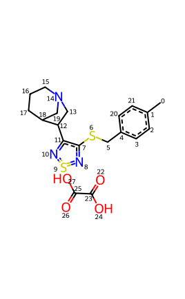 Cc1ccc(CSc2nsnc2C2CN3CCCC2C3)cc1.O=C(O)C(=O)O